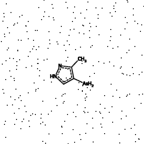 Cc1n[nH]cc1[AsH2]